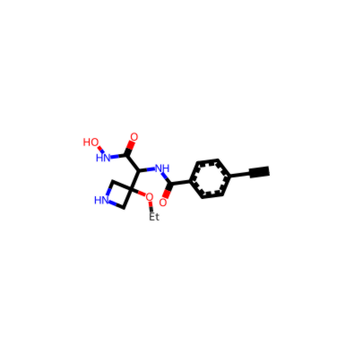 C#Cc1ccc(C(=O)NC(C(=O)NO)C2(OCC)CNC2)cc1